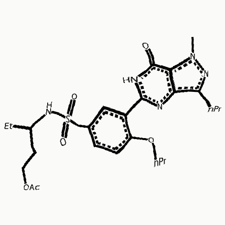 CCCOc1ccc(S(=O)(=O)NC(CC)CCOC(C)=O)cc1-c1nc2c(CCC)nn(C)c2c(=O)[nH]1